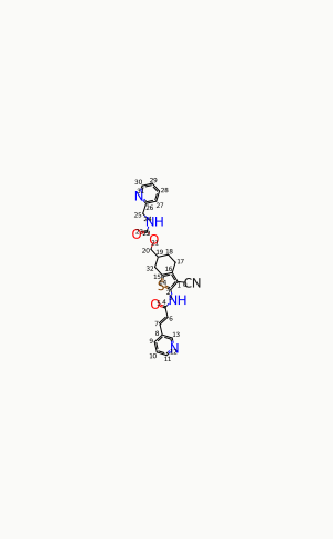 N#Cc1c(NC(=O)/C=C/c2cccnc2)sc2c1CCC(COC(=O)NCc1ccccn1)C2